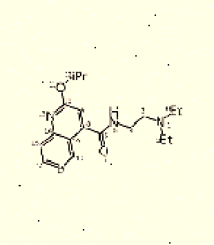 CCN(CC)CCNC(=O)c1cc(OC(C)C)nc2ccccc12